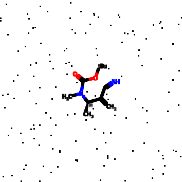 C=C(C=N)[C@@H](C)N(C)C(=O)OC(C)(C)C